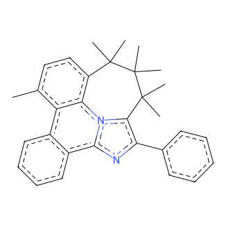 Cc1ccc2c3c1c1ccccc1c1nc(-c4ccccc4)c(n13)C(C)(C)C(C)(C)C2(C)C